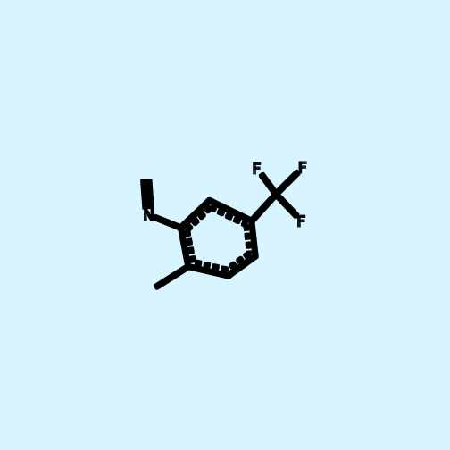 C=Nc1cc(C(F)(F)F)ccc1C